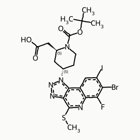 CSc1nc2c(F)c(Br)c(I)cc2c2c1nnn2[C@H]1CCN(C(=O)OC(C)(C)C)[C@H](CC(=O)O)C1